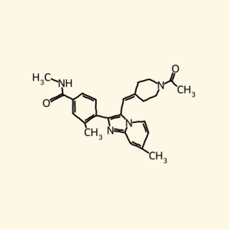 CNC(=O)c1ccc(-c2nc3cc(C)ccn3c2C=C2CCN(C(C)=O)CC2)c(C)c1